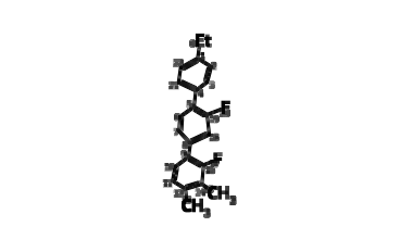 CCc1ccc(-c2ccc(-c3ccc(C)c(C)c3F)cc2F)cc1